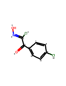 O=C(/C(Cl)=N/O)c1ccc(Cl)cc1